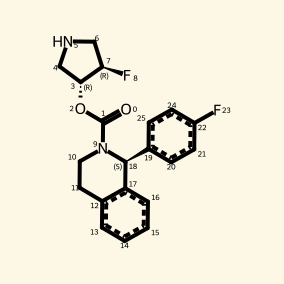 O=C(O[C@@H]1CNC[C@H]1F)N1CCc2ccccc2[C@@H]1c1ccc(F)cc1